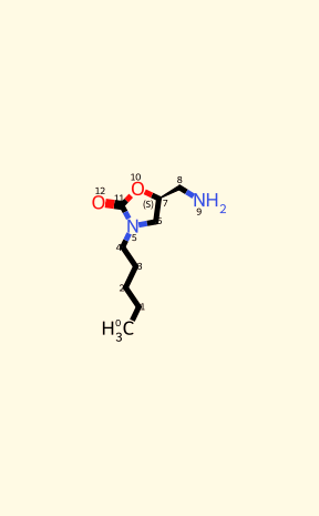 CCCCCN1C[C@H](CN)OC1=O